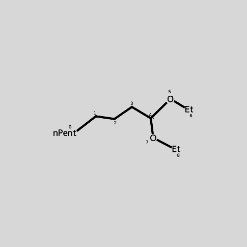 CCCCCCCC[C](OCC)OCC